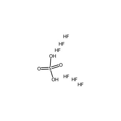 F.F.F.F.F.F.O=S(=O)(O)O